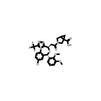 COc1cccc([C@H]2S[C@H](CC(=O)N3CC4CC4(C(=O)O)C3)c3nnc(C(F)(F)F)n3-c3ccc(Cl)cc32)c1OC